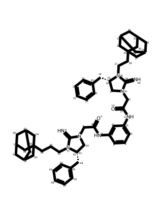 N=C1N(CC(=O)Nc2cccc(NC(=O)CN3C[C@H](Cc4ccccc4)N(CCC45CC6CC(CC(C6)C4)C5)C3=N)c2)C[C@H](Cc2ccccc2)N1CCCC12CC3CC(CC(C3)C1)C2